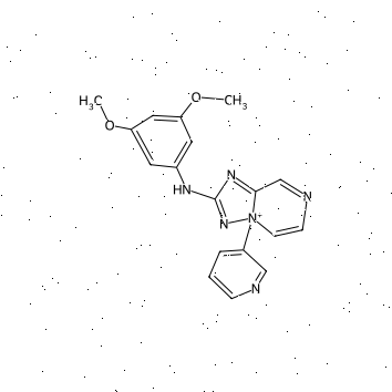 COc1cc(NC2=N[N+]3(c4cccnc4)C=CN=CC3=N2)cc(OC)c1